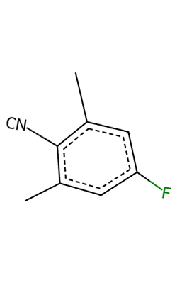 [C-]#[N+]c1c(C)cc(F)cc1C